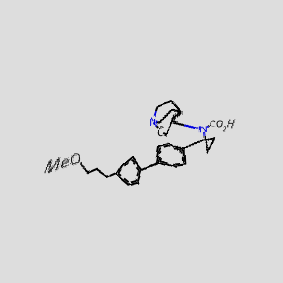 COCCCc1ccc(-c2ccc(C3(N(C(=O)O)C4CCN5CCC4CC5)CC3)cc2)cc1